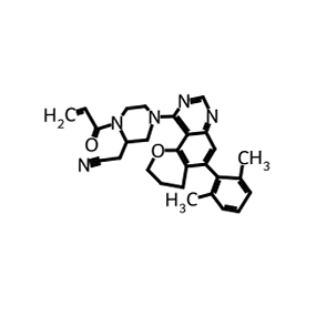 C=CC(=O)N1CCN(c2ncnc3cc(-c4c(C)cccc4C)c4c(c23)OCCC4)CC1CC#N